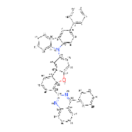 c1ccc(-c2ccc3c(c2)c2ccccc2n3-c2ccc3oc4c(-c5nc(-c6ccccc6)c6ccccc6n5)cccc4c3c2)cc1